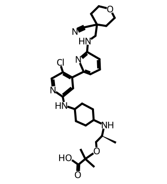 C[C@@H](COC(C)(C)C(=O)O)NC1CCC(Nc2cc(-c3cccc(NCC4(C#N)CCOCC4)n3)c(Cl)cn2)CC1